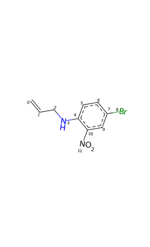 C=CCNc1ccc(Br)cc1[N+](=O)[O-]